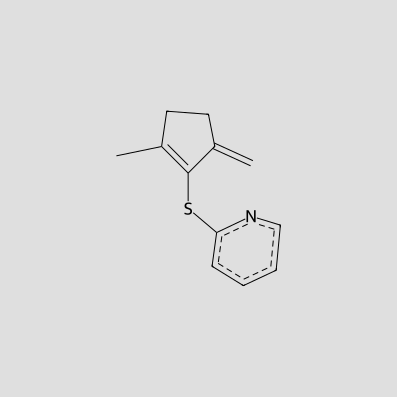 C=C1CCC(C)=C1Sc1ccccn1